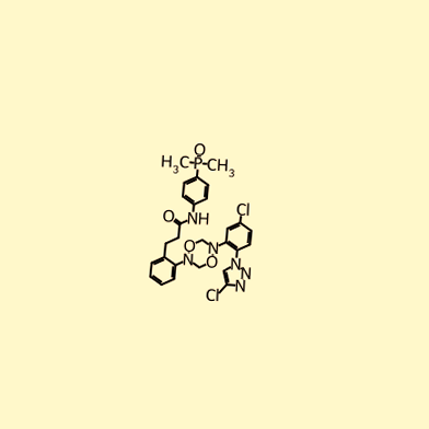 CP(C)(=O)c1ccc(NC(=O)CCc2ccccc2N2CON(c3cc(Cl)ccc3-n3cc(Cl)nn3)CO2)cc1